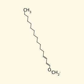 [CH2]OC=CC=CCCCCCCCCCCCCC